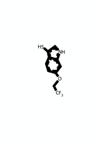 FC(F)(F)COc1ccc2c(S)c[nH]c2c1